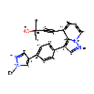 CCn1cc(-c2ccc(-c3cnn4cccc(C#CC(C)(C)O)c34)cc2)cn1